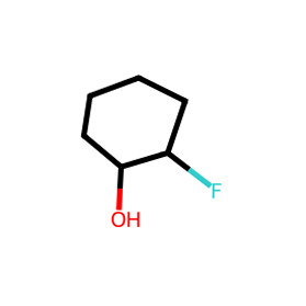 OC1CCCC[C]1F